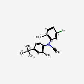 C#CN(c1ccc([Si](C)(C)C)cc1C)c1cc(F)ccc1C(=O)O